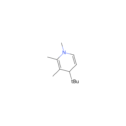 CC1=C(C)N(C)C=CC1C(C)(C)C